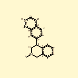 CN1Cc2ccccc2C(c2ccc3ccnnc3c2)C1